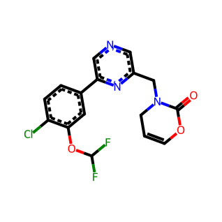 O=C1OC=CCN1Cc1cncc(-c2ccc(Cl)c(OC(F)F)c2)n1